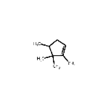 CC1=[C]CC(C)C1(C)C